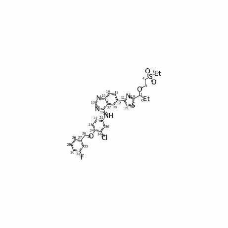 CCC(OCCS(=O)(=O)CC)c1nc(-c2ccc3ncnc(Nc4ccc(OCc5cccc(F)c5)c(Cl)c4)c3c2)cs1